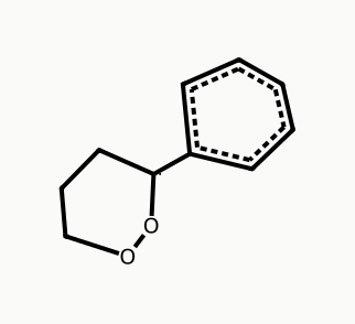 c1ccc([C]2CCCOO2)cc1